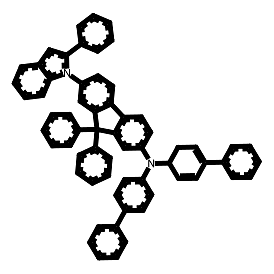 C1=CC(N(c2ccc(-c3ccccc3)cc2)c2ccc3c(c2)C(c2ccccc2)(c2ccccc2)c2cc(-n4c(-c5ccccc5)cc5ccccc54)ccc2-3)CC=C1c1ccccc1